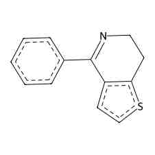 c1ccc(C2=NCCc3sccc32)cc1